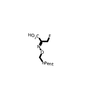 CCCCCCON=C(CF)C(=O)O